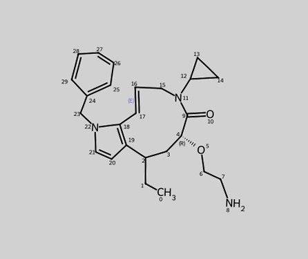 CCC1C[C@@H](OCCN)C(=O)N(C2CC2)C/C=C/c2c1ccn2Cc1ccccc1